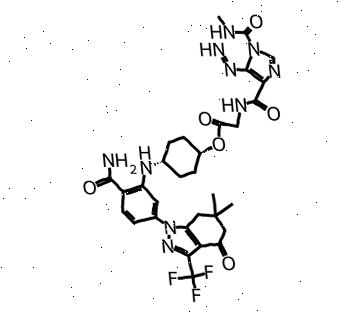 CNC(=O)n1cnc(C(=O)NCC(=O)O[C@H]2CC[C@H](Nc3cc(-n4nc(C(F)(F)F)c5c4CC(C)(C)CC5=O)ccc3C(N)=O)CC2)c1N=N